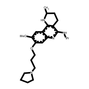 COc1cc2c3c(c(NC(C)C)nc2cc1OCCCN1CCCC1)CCC(C)N3